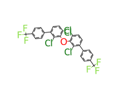 FC(F)(F)c1ccc(-c2ccc(Cl)c(Oc3c(Cl)ccc(-c4ccc(C(F)(F)F)cc4)c3Cl)c2Cl)cc1